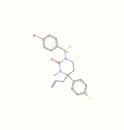 C=CCC1(c2ccc(F)cc2)CCN([C@@H](C)c2ccc(Br)cc2)C(=O)N1C